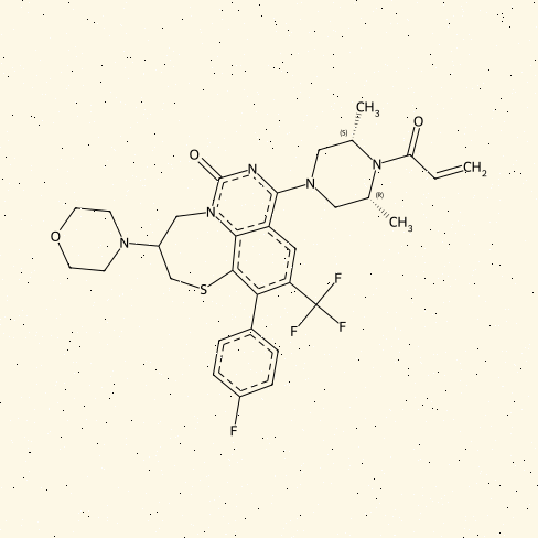 C=CC(=O)N1[C@H](C)CN(c2nc(=O)n3c4c(c(-c5ccc(F)cc5)c(C(F)(F)F)cc24)SCC(N2CCOCC2)C3)C[C@@H]1C